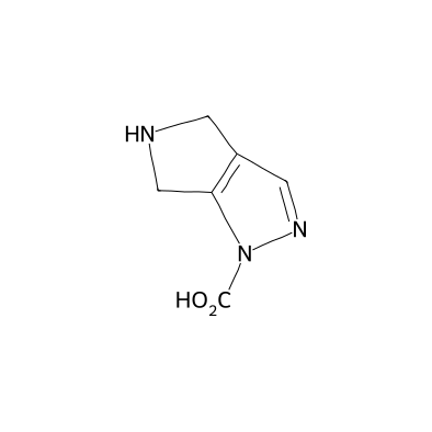 O=C(O)n1ncc2c1CNC2